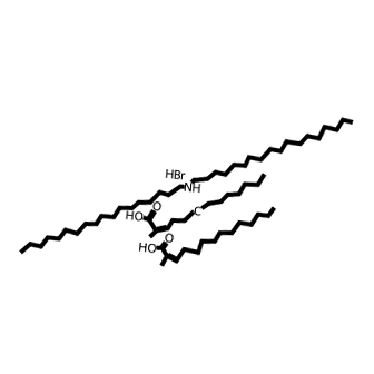 Br.CCCCCCCCCCCC=C(C)C(=O)O.CCCCCCCCCCCC=C(C)C(=O)O.CCCCCCCCCCCCCCCCCCNCCCCCCCCCCCCCCCCCC